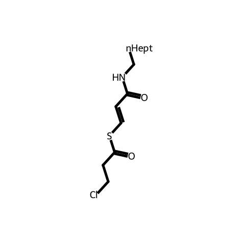 CCCCCCCCNC(=O)C=CSC(=O)CCCl